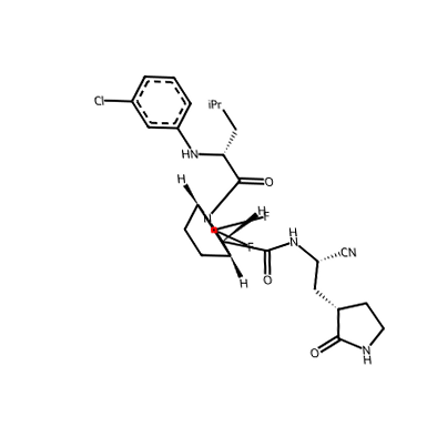 CC(C)C[C@@H](Nc1cccc(Cl)c1)C(=O)N1[C@H]2CC[C@@H]([C@H]1C(=O)N[C@H](C#N)C[C@@H]1CCNC1=O)C(F)(F)C2